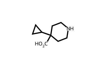 O=C(O)C1(C2CC2)CCNCC1